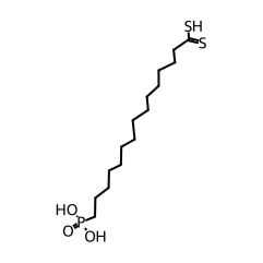 O=P(O)(O)CCCCCCCCCCCCCCC(=S)S